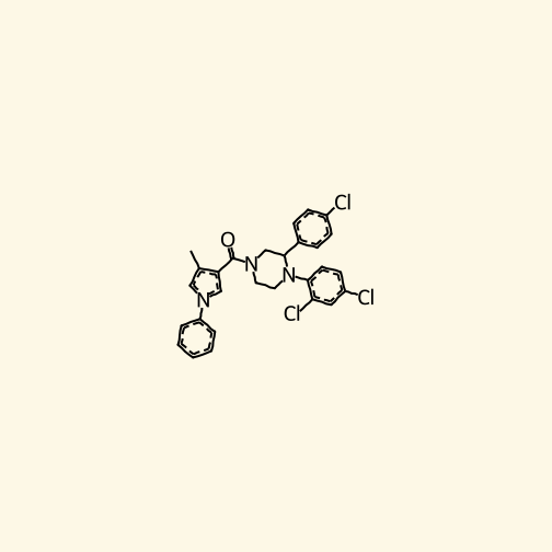 Cc1cn(-c2ccccc2)cc1C(=O)N1CCN(c2ccc(Cl)cc2Cl)C(c2ccc(Cl)cc2)C1